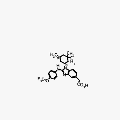 C[C@@H]1C[C@@H](n2c(Nc3ccc(OC(F)(F)F)cc3)nc3cc(CC(=O)O)ccc32)CC(C)(C)C1